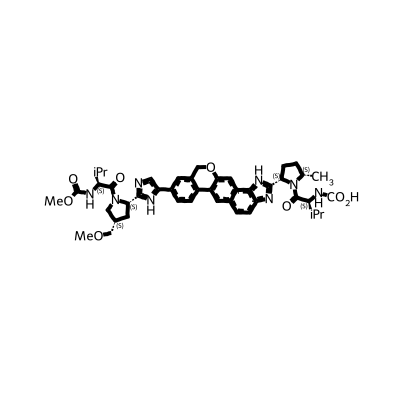 COC[C@H]1C[C@@H](c2ncc(-c3ccc4c(c3)COc3cc5c(ccc6nc([C@@H]7CC[C@H](C)N7C(=O)[C@@H](NC(=O)O)C(C)C)[nH]c65)cc3-4)[nH]2)N(C(=O)[C@@H](NC(=O)OC)C(C)C)C1